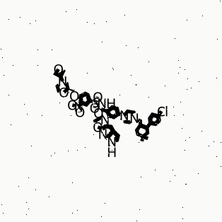 CC1(C)CCC(CN2CCN(c3ccc(C(=O)NS(=O)(=O)c4ccc(OC[C@@H]5CN(C6COC6)CCO5)c([N+](=O)[O-])c4)c(N4CCOc5nc6[nH]ccc6cc54)c3)CC2)=C(c2ccc(Cl)cc2)C1